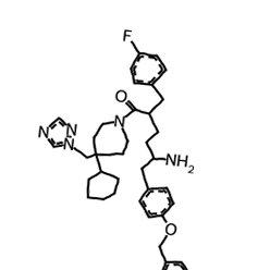 NC(CCC(Cc1ccc(F)cc1)C(=O)N1CCC(Cn2cncn2)(C2CCCCC2)CC1)Cc1ccc(OCc2ccccc2)cc1